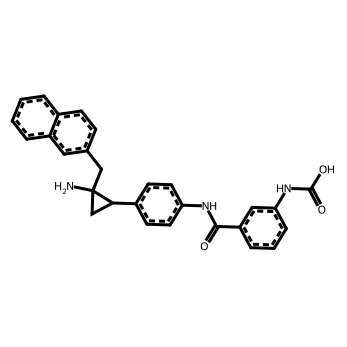 NC1(Cc2ccc3ccccc3c2)CC1c1ccc(NC(=O)c2cccc(NC(=O)O)c2)cc1